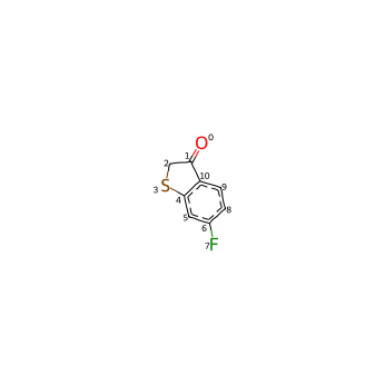 O=C1CSc2cc(F)ccc21